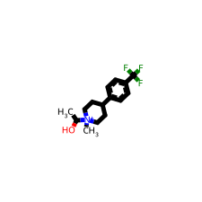 CC(O)[N+]1(C)CCC(c2ccc(C(F)(F)F)cc2)CC1